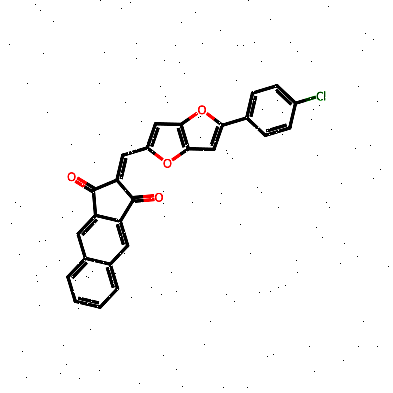 O=C1C(=Cc2cc3oc(-c4ccc(Cl)cc4)cc3o2)C(=O)c2cc3ccccc3cc21